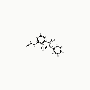 C=CCc1cccc(C(=O)Nc2ccccc2)c1O